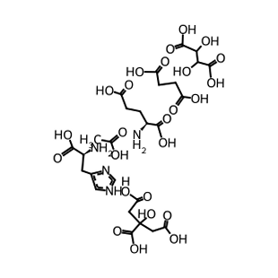 CC(=O)O.N[C@@H](CCC(=O)O)C(=O)O.N[C@@H](Cc1c[nH]cn1)C(=O)O.O=C(O)C(O)C(O)C(=O)O.O=C(O)CC(O)(CC(=O)O)C(=O)O.O=C(O)CCC(=O)O